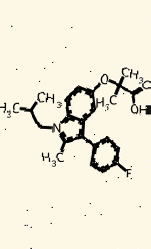 Cc1c(-c2ccc(F)cc2)c2cc(OC(C)(C)C(=O)O)ccc2n1CC(C)C